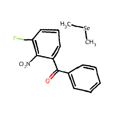 C[Se]C.O=C(c1ccccc1)c1cccc(F)c1[N+](=O)[O-]